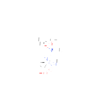 CNc1c(C(=O)O)cccc1N1CCC(N(C)C(=O)OC(C)(C)C)CC1